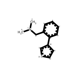 CN(C)Cc1ccccc1-c1c[c]sc1